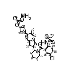 Cc1cn2nc([C@@H]3CCCCN3C(=O)c3cc(Cl)ccc3NS(C)(=O)=O)cc2nc1N1CC(OC(=O)ON)C1